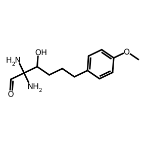 COc1ccc(CCCC(O)C(N)(N)C=O)cc1